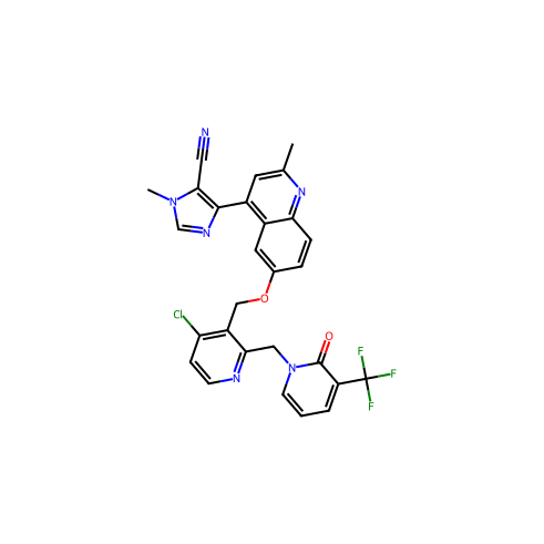 Cc1cc(-c2ncn(C)c2C#N)c2cc(OCc3c(Cl)ccnc3Cn3cccc(C(F)(F)F)c3=O)ccc2n1